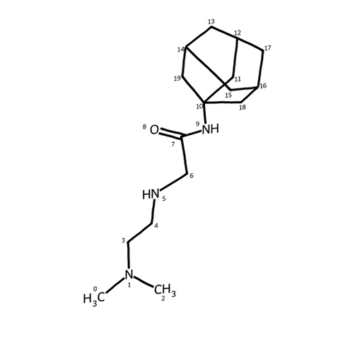 CN(C)CCNCC(=O)NC12CC3CC(CC(C3)C1)C2